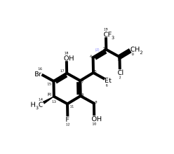 C=C(Cl)/C(=C\C(CC)C1=C(CO)C(F)[C@@H](C)C(Br)=C1O)C(F)(F)F